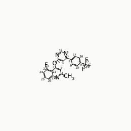 Cc1cc(Oc2cc(-c3ccc(C(F)(F)F)cc3)ncn2)c2c(F)cccc2n1